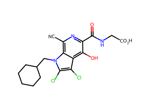 N#Cc1nc(C(=O)NCC(=O)O)c(O)c2c(Cl)c(Cl)n(CC3CCCCC3)c12